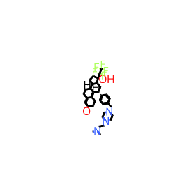 CN(C)CCN1CCN(Cc2ccc([C@H]3C[C@@]4(C)[C@@H](CC[C@]4(O)C(F)(F)C(F)(F)F)[C@@H]4CCC5=CC(=O)CCC5=C43)cc2)CC1